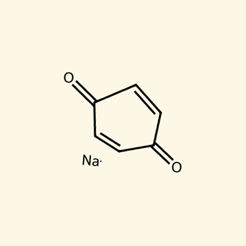 O=C1C=CC(=O)C=C1.[Na]